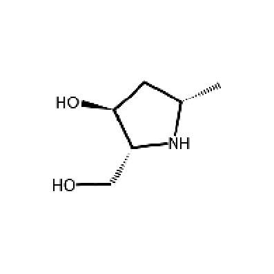 C[C@H]1C[C@H](O)[C@@H](CO)N1